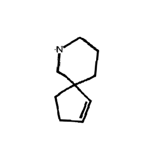 C1=CC2(CC1)CCC[N]C2